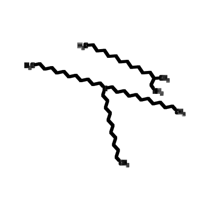 CCCCCCCCCCCCC(C)CN.CCCCCCCCCCCCN(CCCCCCCCCCCC)CCCCCCCCCCCC